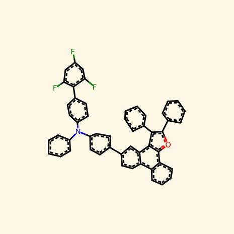 Fc1cc(F)c(-c2ccc(N(c3ccccc3)c3ccc(-c4ccc5c6ccccc6c6oc(-c7ccccc7)c(-c7ccccc7)c6c5c4)cc3)cc2)c(F)c1